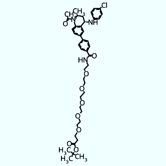 CC(=O)N1c2ccc(-c3ccc(C(=O)NCCOCCOCCOCCOCCOCCC(=O)OC(C)(C)C)cc3)cc2[C@H](Nc2ccc(Cl)cc2)C[C@@H]1C